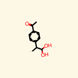 [CH2]C(c1ccc(C(C)=O)cc1)C(O)O